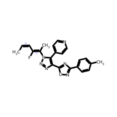 C/C=C\C(F)=C(/C)n1nnc(-c2nc(-c3ccc(C)cc3)no2)c1-c1ccncc1